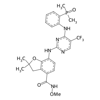 CONC(=O)c1ccc(Nc2ncc(C(F)(F)F)c(Nc3ccccc3P(C)(C)=O)n2)c2c1CC(C)(C)O2